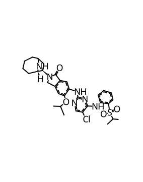 CC(C)Oc1cc2c(cc1Nc1ncc(Cl)c(Nc3ccccc3S(=O)(=O)C(C)C)n1)C(=O)N([C@@H]1CC3CCCC[C@@H]1N3)C2